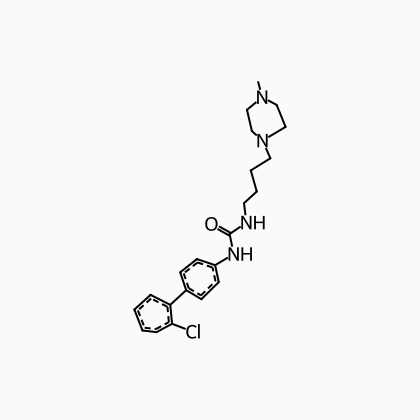 CN1CCN(CCCCNC(=O)Nc2ccc(-c3ccccc3Cl)cc2)CC1